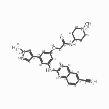 C#Cc1ccc2nc(Nc3cc(OCC(=O)NC4CCN(C)CC4)cc(-c4cnn(C)c4)c3)ncc2c1